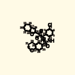 O=S(=O)(Nc1ccc(Cl)cc1NS(=O)(=O)c1cc2ccccc2o1)c1ccc2c(c1)CCCO2